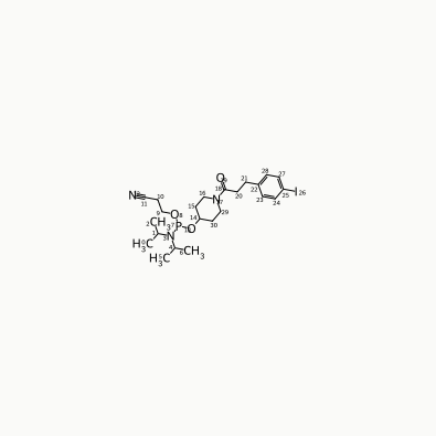 CC(C)N(C(C)C)P(OCCC#N)OC1CCN(C(=O)CCc2ccc(I)cc2)CC1